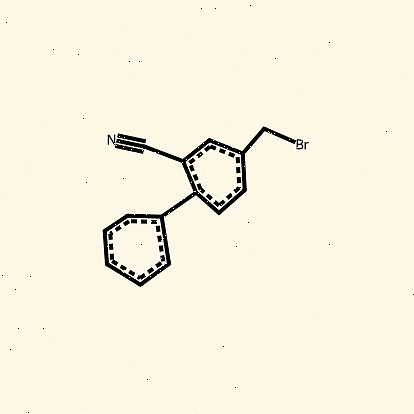 N#Cc1cc(CBr)ccc1-c1ccccc1